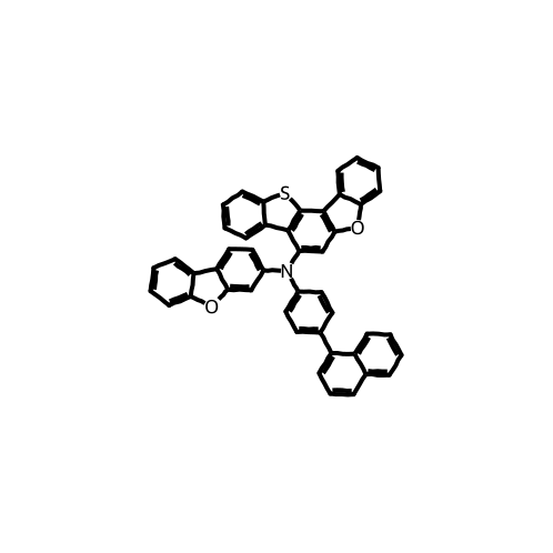 c1ccc2c(-c3ccc(N(c4ccc5c(c4)oc4ccccc45)c4cc5oc6ccccc6c5c5sc6ccccc6c45)cc3)cccc2c1